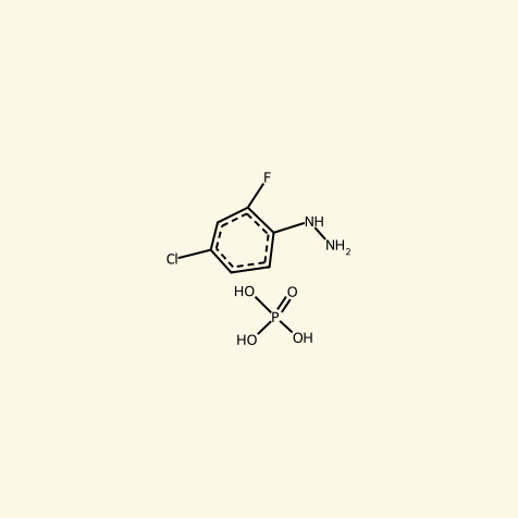 NNc1ccc(Cl)cc1F.O=P(O)(O)O